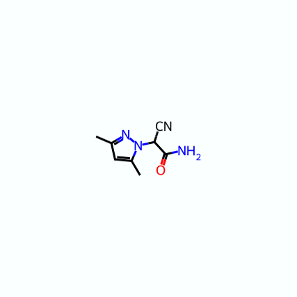 Cc1cc(C)n(C(C#N)C(N)=O)n1